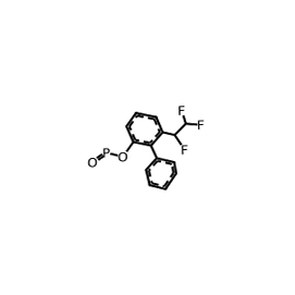 O=POc1cccc(C(F)C(F)F)c1-c1ccccc1